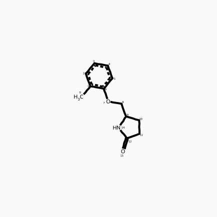 Cc1[c]cccc1OCC1CCC(=O)N1